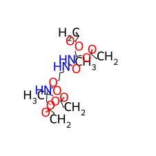 C=CC(=O)OCC(C)(COC(=O)C=C)NC(=O)NCCCOC(=O)NC(C)(COC(=O)C=C)COC(=O)C=C